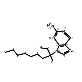 CCCCCCCC(C)(CC)n1cnc2cnc(N)nc21